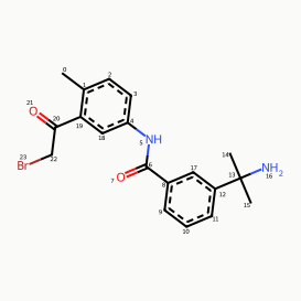 Cc1ccc(NC(=O)c2cccc(C(C)(C)N)c2)cc1C(=O)CBr